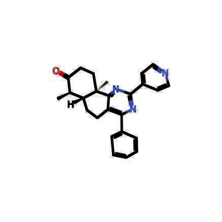 C[C@H]1C(=O)CC[C@@]2(C)c3nc(-c4ccncc4)nc(-c4ccccc4)c3CC[C@H]12